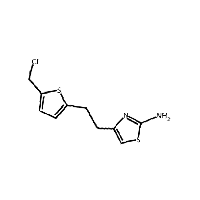 Nc1nc(CCc2ccc(CCl)s2)cs1